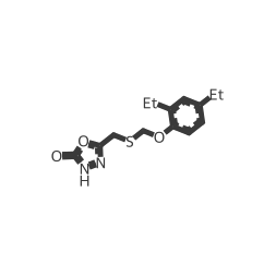 CCc1ccc(OCSCc2n[nH]c(=O)o2)c(CC)c1